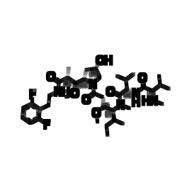 CCC(C)[C@@H]([C@@H](CC(=O)N1C[C@@H](O)C[C@H]1[C@H](OC)[C@@H](C)C(=O)NCCc1c(F)cccc1F)OC)N(C)C(=O)[C@@H](NC(=O)[C@@H](NC)C(C)C)C(C)C